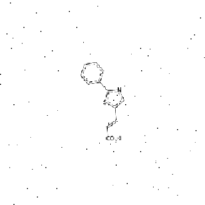 O=C(O)C=Cc1cnc(-c2ccccc2)s1